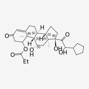 CCC(=O)OC1CC(=O)C=C2CC[C@@H]3[C@H]([C@@H](O)C[C@@]4(C)[C@H]3CC[C@]4(O)C(=O)C(O)C3CCCC3)[C@]21C